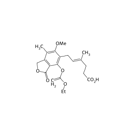 C=C(OCC)Oc1c(C/C=C(\C)CCC(=O)O)c(OC)c(C)c2c1C(=O)OC2